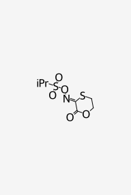 CC(C)S(=O)(=O)O/N=C1\SCCOC1=O